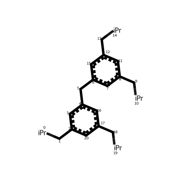 CC(C)Cc1[c]c(Cc2[c]c(CC(C)C)cc(CC(C)C)c2)cc(CC(C)C)c1